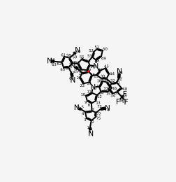 N#Cc1cc(C#N)c(-c2ccc3c(c2)c2ccccc2n3-c2ccc(C#N)cc2-c2cc(-c3ccc(C(F)(F)F)cc3C#N)ccc2-n2c3ccccc3c3cc(-c4c(C#N)cc(C#N)cc4C#N)ccc32)c(C#N)c1